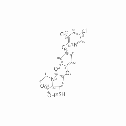 CCN(C(=O)C(C)Oc1ccc(Oc2ncc(Cl)cc2Cl)cc1)C(CS)C(=O)O